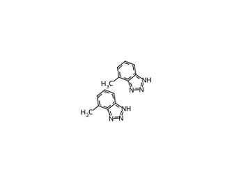 Cc1cccc2[nH]nnc12.Cc1cccc2[nH]nnc12